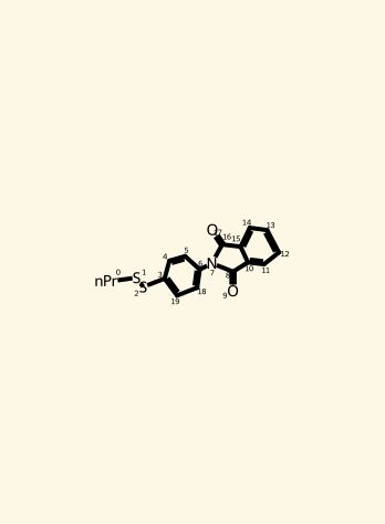 CCCSSc1ccc(N2C(=O)c3ccccc3C2=O)cc1